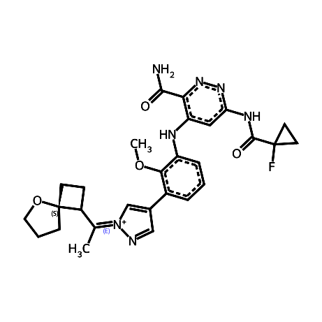 COc1c(Nc2cc(NC(=O)C3(F)CC3)nnc2C(N)=O)cccc1C1=C/[N+](=C(/C)C2CC[C@]23CCCO3)N=C1